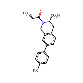 C=CC(=O)N1Cc2cc(-c3ccc(C(F)(F)F)cc3)ccc2C[C@@H]1C(=O)O